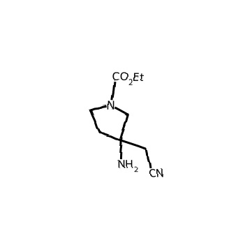 CCOC(=O)N1CCC(N)(CC#N)C1